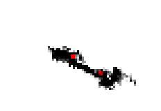 Cc1ncsc1-c1ccc(CNC(=O)[C@@H]2CCCN2C(=O)C(NC(=O)COCCCOCCCCOc2cc(Cl)c(N3C(=S)N(c4ccc(C#N)c(C(F)(F)F)c4F)C(=O)C3(C)C)cn2)C(C)(C)C)cc1